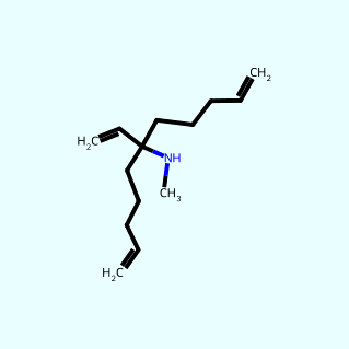 C=CCCCC(C=C)(CCCC=C)NC